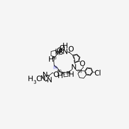 Cn1cnc(CO[C@H]2/C=C/C[C@H]3CCC[C@@H]3S(=O)(=O)NC(=O)c3ccc4c(c3)N(C[C@@H]3CC[C@H]32)C[C@@]2(CCCc3cc(Cl)ccc32)CO4)n1